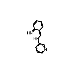 N=C1C=CC=C/C1=C/Nc1cccnc1